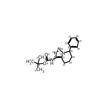 CC(C)(C)OC(=O)Nc1nnn2c1CCCC2c1ccccc1